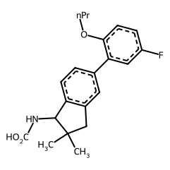 CCCOc1ccc(F)cc1-c1ccc2c(c1)CC(C)(C)C2NC(=O)O